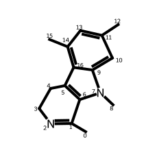 CC1=NCCc2c1n(C)c1cc(C)cc(C)c21